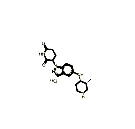 C[C@@H]1CNCC[C@H]1Nc1ccc2c(cnn2C2CCC(=O)NC2=O)c1.Cl